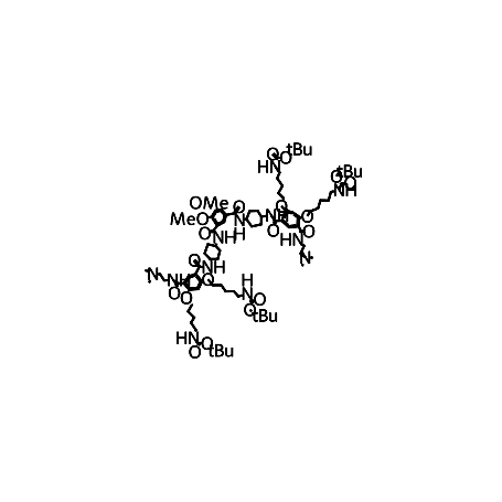 COc1cc(OC)c(C(=O)NC2CCC(NC(=O)c3cc(C(=O)NCCN(C)C)c(OCCCCCNC(=O)OC(C)(C)C)cc3OCCCCCNC(=O)OC(C)(C)C)CC2)cc1C(=O)NC1CCC(NC(=O)c2cc(C(=O)NCCN(C)C)c(OCCCCCNC(=O)OC(C)(C)C)cc2OCCCCCNC(=O)OC(C)(C)C)CC1